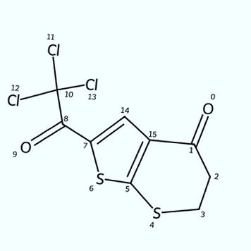 O=C1CCSc2sc(C(=O)C(Cl)(Cl)Cl)cc21